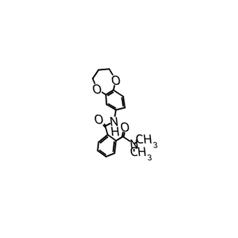 CN(C)C(=O)c1ccccc1C(=O)Nc1ccc2c(c1)OCCCO2